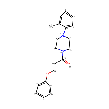 N#Cc1ccccc1N1CCN(C(=O)CCOc2ccccc2)CC1